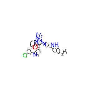 Cc1cccc(-c2cc(Cl)ccc2[C@@H](Oc2cc(N3CCC4(CC3)CNC(C(=O)O)C4)nc(N)n2)C(F)(F)F)n1